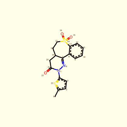 Cc1ccc(N2N=C3c4ccccc4S(=O)(=O)CCC3CC2=O)s1